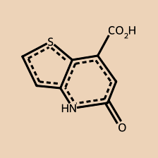 O=C(O)c1cc(=O)[nH]c2ccsc12